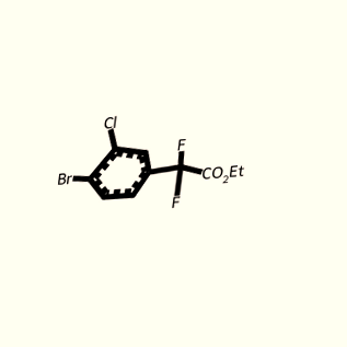 CCOC(=O)C(F)(F)c1ccc(Br)c(Cl)c1